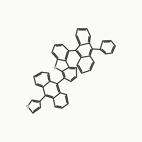 c1ccc(-c2c3ccccc3c(-c3cccc4oc5c(-c6c7ccccc7c(-c7ccoc7)c7ccccc67)cccc5c34)c3ccccc23)cc1